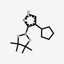 CC1(C)OB(c2n[nH]cc2C2CCCC2)OC1(C)C